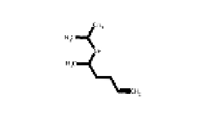 C=CCCC(C)NC(C)C